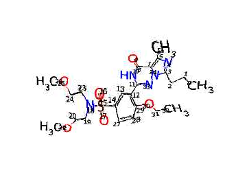 CCCc1nc(C)c2c(=O)[nH]c(-c3cc(S(=O)(=O)N(CCOC)CCOC)ccc3OCC)nn12